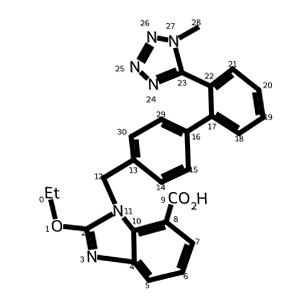 CCOc1nc2cccc(C(=O)O)c2n1Cc1ccc(-c2ccccc2-c2nnnn2C)cc1